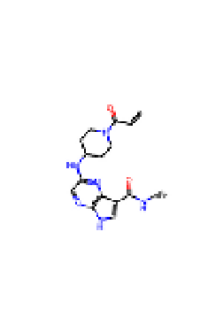 C=CC(=O)N1CCC(Nc2cnc3[nH]cc(C(=O)NCCC)c3n2)CC1